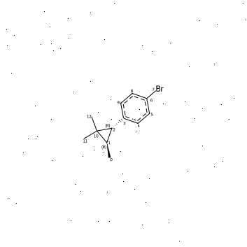 C[C@@H]1[C@@H](c2ccc(Br)cc2)C1(C)C